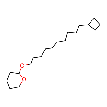 C(CCCCCC1CCC1)CCCCOC1CCCCO1